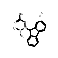 C[SiH](C)[Hf+2]([NH]C(=O)C(C)(C)C)[CH]1c2ccccc2-c2ccccc21.[Cl-].[Cl-]